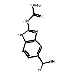 CCC(S)c1ccc2[nH]c(NC(=O)OC)nc2c1